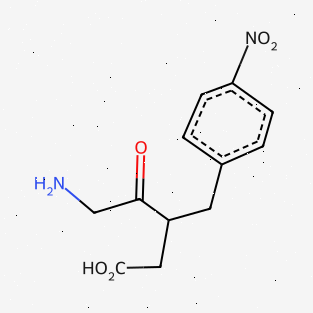 NCC(=O)C(CC(=O)O)Cc1ccc([N+](=O)[O-])cc1